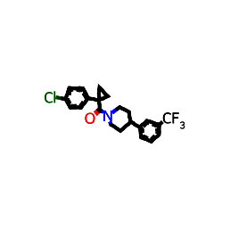 O=C(N1CCC(c2cccc(C(F)(F)F)c2)CC1)C1(c2ccc(Cl)cc2)CC1